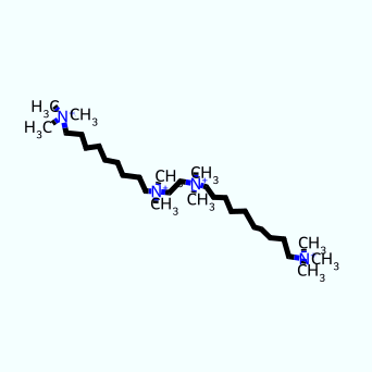 C[N+](C)(C)CCCCCCCCCC[N+](C)(C)CC[N+](C)(C)CCCCCCCCC[N+](C)(C)C